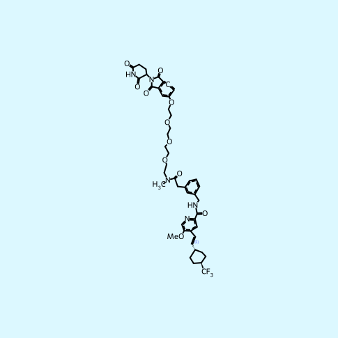 COc1cnc(C(=O)NCc2cccc(CC(=O)N(C)CCOCCOCCOCCOc3ccc4c(c3)C(=O)N(C3CCC(=O)NC3=O)C4=O)c2)cc1/C=C/[C@H]1CC[C@H](C(F)(F)F)CC1